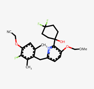 COCOc1ccc(Cc2c(C)cc(OCC#N)c(F)c2C)nc1C1(O)CCC(F)(F)CC1